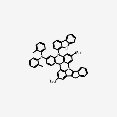 Cc1ccccc1N(c1ccc2c(c1)N(c1cccc3c1oc1ccccc13)c1cc(C(C)(C)C)cc3c1B2c1cc(C(C)(C)C)cc2c4sc5ccccc5c4n-3c12)c1ccccc1C